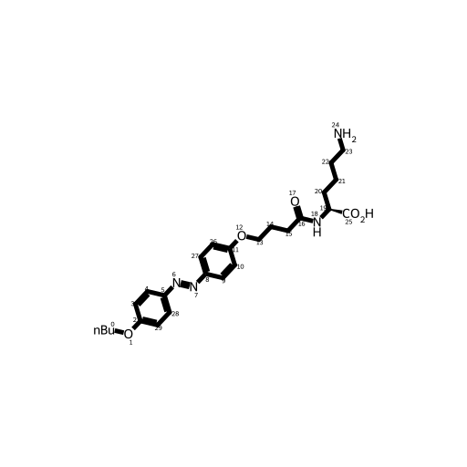 CCCCOc1ccc(N=Nc2ccc(OCCCC(=O)N[C@@H](CCCCN)C(=O)O)cc2)cc1